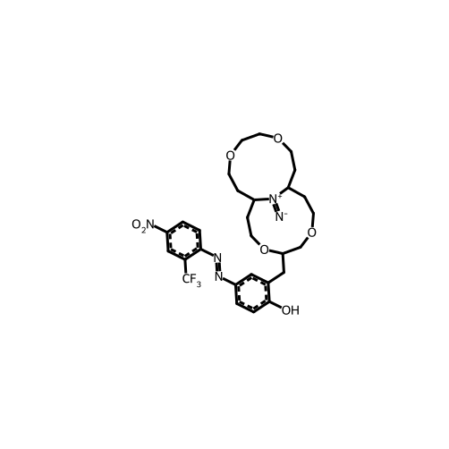 [N-]=[N+]1C2CCOCCOCCC1CCOC(Cc1cc(N=Nc3ccc([N+](=O)[O-])cc3C(F)(F)F)ccc1O)COCC2